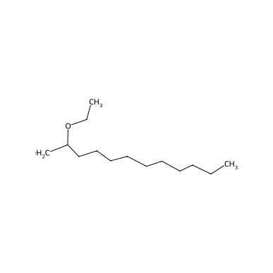 [CH2]C(CCCCCCCCCC)OCC